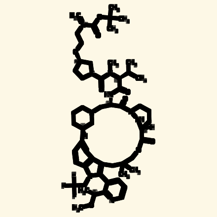 C=[N+](CCO[C@@H]1CCN(C(=O)N(C)[C@H](C(=O)N[C@H]2CN3CCC[C@@H](C3)c3ccc4c(c3)c(c(-c3cccnc3[C@H](C)OC)n4CC(F)(F)F)CC(C)(C)COC(=O)[C@@H]3CCCN(N3)C2=O)C(C)C)C1)C(=O)OC(C)(C)C